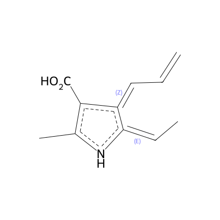 C=C/C=c1/c(C(=O)O)c(C)[nH]/c1=C/C